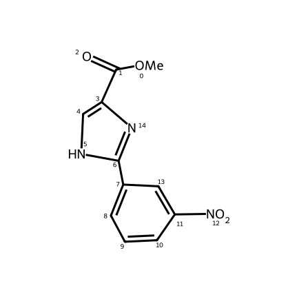 COC(=O)c1c[nH]c(-c2cccc([N+](=O)[O-])c2)n1